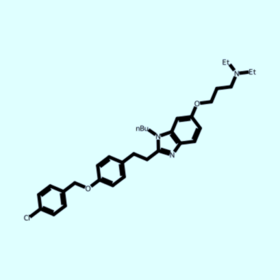 CCCCn1c(CCc2ccc(OCc3ccc(Cl)cc3)cc2)nc2ccc(OCCCN(CC)CC)cc21